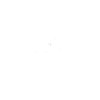 COc1ccc(CO[Si](c2ccccc2)(c2ccccc2)c2ccccc2)c([N+](=O)[O-])c1OC